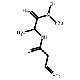 C=CCC(=O)NC(C)C(=C)N(C)CCCC